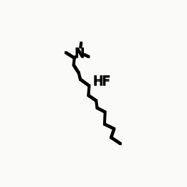 CCCCCCCCCCCCC(C)N(C)C.F